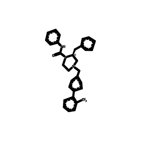 O=C(Nc1ccccc1)N1CCN(Cc2ccc(-c3ccccc3C(F)(F)F)cc2)C[C@@H]1Cc1ccccc1